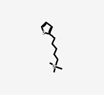 C[Si](C)(C)CCCCCc1cccs1